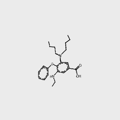 CCCCN(CCCC)c1cc(C(=O)O)cc(NCC)c1Oc1ccccc1